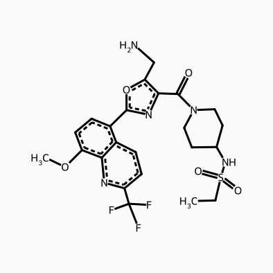 CCS(=O)(=O)NC1CCN(C(=O)c2nc(-c3ccc(OC)c4nc(C(F)(F)F)ccc34)oc2CN)CC1